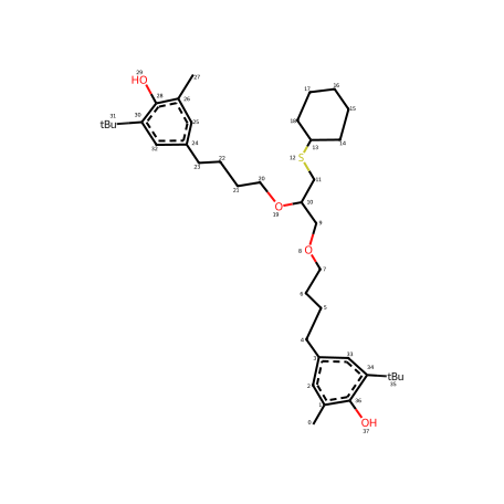 Cc1cc(CCCCOCC(CSC2CCCCC2)OCCCCc2cc(C)c(O)c(C(C)(C)C)c2)cc(C(C)(C)C)c1O